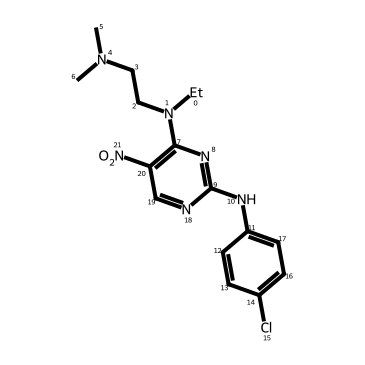 CCN(CCN(C)C)c1nc(Nc2ccc(Cl)cc2)ncc1[N+](=O)[O-]